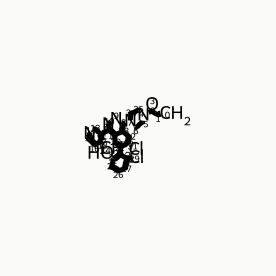 C=CC(=O)N1CCN(c2nnc(-c3cnccc3C)c3cc(-c4c(O)cccc4Cl)c(Cl)cc23)CC1